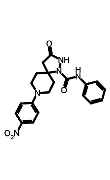 O=C1CC2(CCN(c3ccc([N+](=O)[O-])cc3)CC2)N(C(=O)Nc2ccccc2)N1